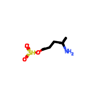 CC(N)CCCO[SH](=O)=O